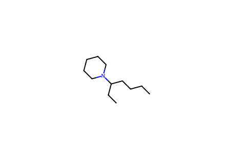 CCCCC(CC)N1CCCCC1